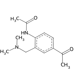 CC(=O)Nc1ccc(C(C)=O)cc1CN(C)C